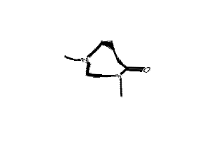 CN1CCC(=O)N(C)C1